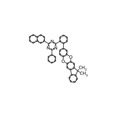 CC1(C)c2ccccc2-c2cc3c(cc21)Oc1cc(-c2ccccc2-c2nc(-c4ccccc4)nc(-c4ccc5ccccc5c4)n2)ccc1O3